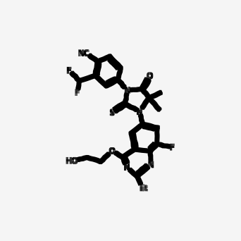 CCc1nc(OCCO)c2cc(N3C(=S)N(c4ccc(C#N)c(C(F)F)c4)C(=O)C3(C)C)cc(F)c2n1